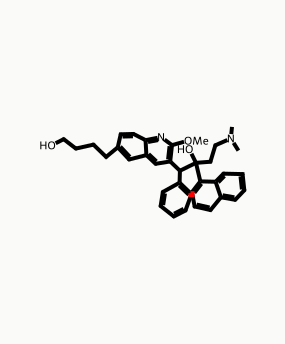 COc1nc2ccc(CCCCO)cc2cc1C(c1ccccc1)C(O)(CCN(C)C)c1cccc2ccccc12